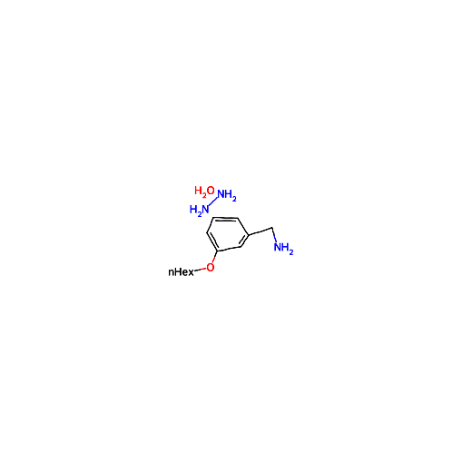 CCCCCCOc1cccc(CN)c1.NN.O